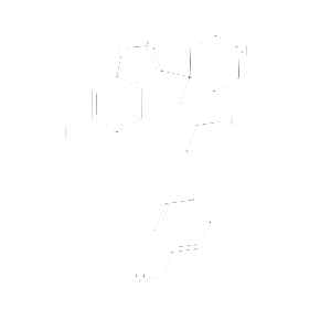 COc1ccc(OCC(O)CC2(c3noc4cc(F)ccc34)CCNCC2)cc1